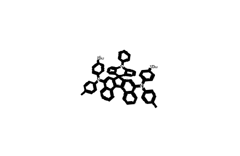 Cc1ccc(N(c2ccc(C(C)(C)C)cc2)c2cc3c(c4ccccc24)-c2c(cc(N(c4ccc(C)cc4)c4ccc(C(C)(C)C)cc4)c4ccccc24)C32c3ccccc3N(c3ccccc3)c3ccccc32)cc1